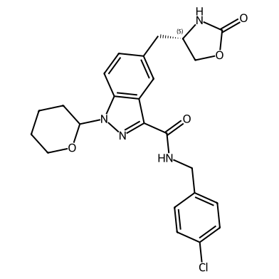 O=C1N[C@@H](Cc2ccc3c(c2)c(C(=O)NCc2ccc(Cl)cc2)nn3C2CCCCO2)CO1